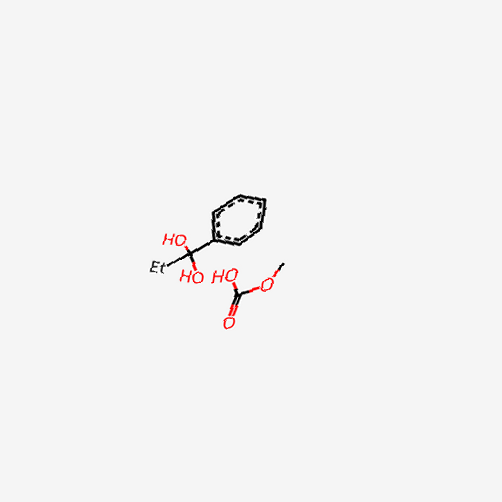 CCC(O)(O)c1ccccc1.COC(=O)O